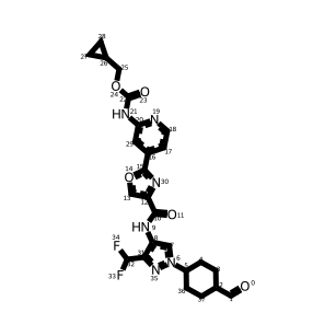 O=CC1CCC(n2cc(NC(=O)c3coc(-c4ccnc(NC(=O)OCC5CC5)c4)n3)c(C(F)F)n2)CC1